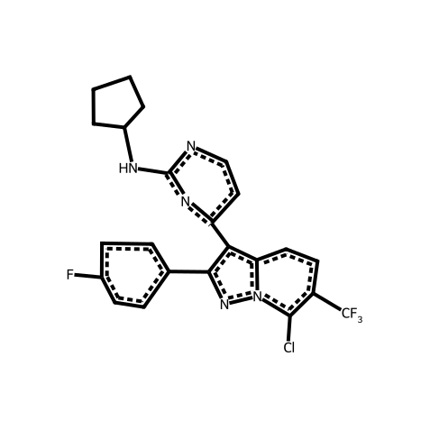 Fc1ccc(-c2nn3c(Cl)c(C(F)(F)F)ccc3c2-c2ccnc(NC3CCCC3)n2)cc1